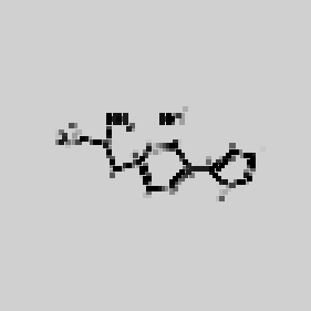 Cl.NC(Cc1ccc(-c2ccco2)cc1)C(=O)O